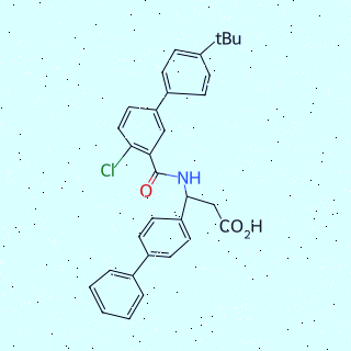 CC(C)(C)c1ccc(-c2ccc(Cl)c(C(=O)NC(CC(=O)O)c3ccc(-c4ccccc4)cc3)c2)cc1